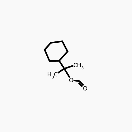 CC(C)(OC=O)C1CCCCC1